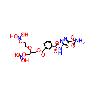 NS(=O)(=O)c1nnc(NS(=O)(=O)c2cccc(C(=O)OCC(CON(O)O)OCCON(O)O)c2)s1